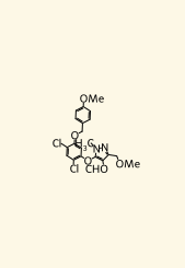 COCc1nn(C)c(Oc2cc(OCc3ccc(OC)cc3)c(Cl)cc2Cl)c1C=O